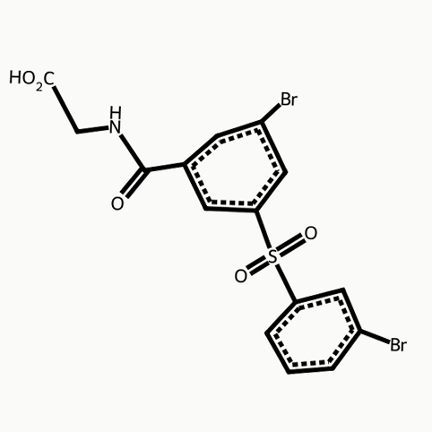 O=C(O)CNC(=O)c1cc(Br)cc(S(=O)(=O)c2cccc(Br)c2)c1